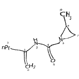 C=C(CCC)NC(=O)N1CC1C